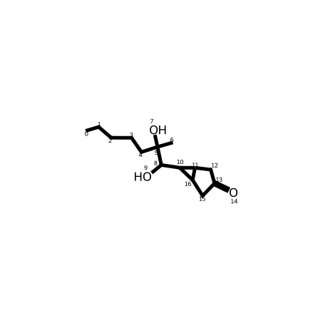 CCCCCC(C)(O)C(O)C1C2CC(=O)CC21